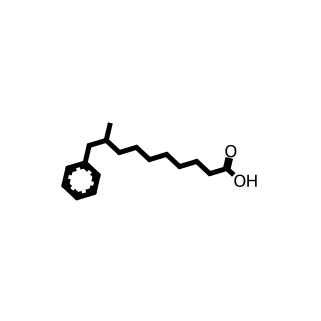 CC(CCCCCCCC(=O)O)Cc1ccccc1